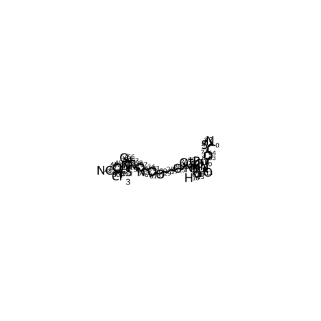 Cc1ncsc1-c1ccc(CNC(=O)[C@@H]2CCCN2C(=O)[C@@H](NC(=O)COCCCCOc2ccc(-c3ccc(N4C(=S)N(c5ccc(C#N)c(C(F)(F)F)c5F)C(=O)C4(C)C)cn3)cc2)C(C)(C)C)cc1